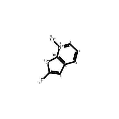 [O-][n+]1cccc2cc(F)sc21